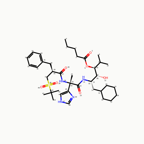 CCCCC(=O)O[C@@H](C(C)C)[C@H](O)[C@H](CC1CCCCC1)NC(=O)[C@@](C)(NC(=O)[C@H](Cc1ccccc1)CS(=O)(=O)C(C)(C)C)c1c[nH]cn1